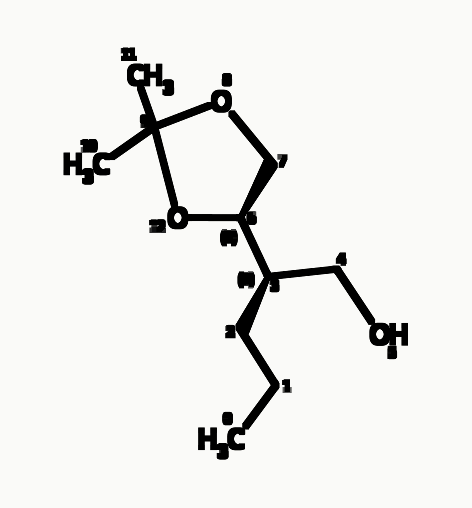 CCC[C@H](CO)[C@@H]1COC(C)(C)O1